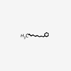 CCCCCCCCCC1CCCCC1